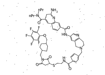 CCCN(CCC)C(=O)C1=Cc2ccc(C(=O)Nc3cnc4c(c3)CN(Cc3ccc(C(=O)NCCSC5CC(=O)N(CC6CCC(COc7c(F)c(F)c(F)c(F)c7F)CC6)C5=O)cc3)CC4)cc2N=C(N)C1